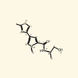 Cc1nc(-c2cc(C(=O)NC(C)CO)n(C)c2)cs1